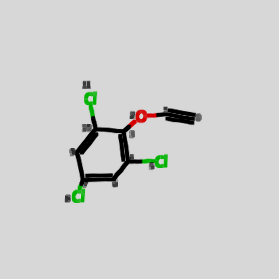 C#COc1c(Cl)cc(Cl)cc1Cl